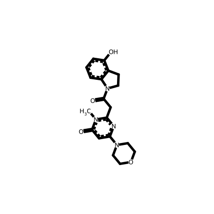 Cn1c(CC(=O)N2CCc3c(O)cccc32)nc(N2CCOCC2)cc1=O